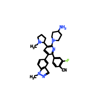 CN1CCCC1c1cc(-c2ccc3c(cnn3C)c2)c(-c2ccc(C#N)c(F)c2)nc1N1CCC(N)CC1